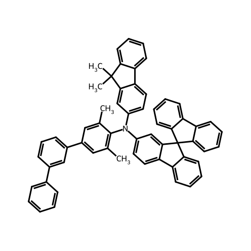 Cc1cc(-c2cccc(-c3ccccc3)c2)cc(C)c1N(c1ccc2c(c1)C(C)(C)c1ccccc1-2)c1ccc2c(c1)C1(c3ccccc3-c3ccccc31)c1ccccc1-2